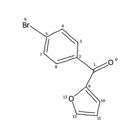 O=C(c1ccc(Br)cc1)c1ccco1